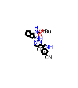 CC(C)(C)OC(=O)N[C@H]1c2ccccc2C[C@@H]1Nc1ncc(C(F)(F)F)c(-c2c[nH]c3cc(C#N)ccc23)n1